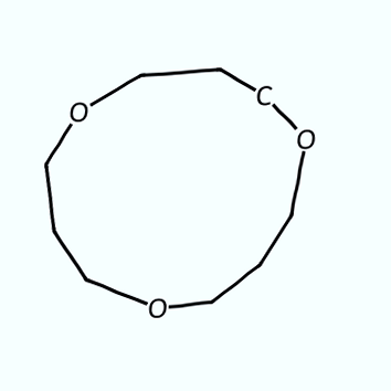 C1COCCCOCCCOC1